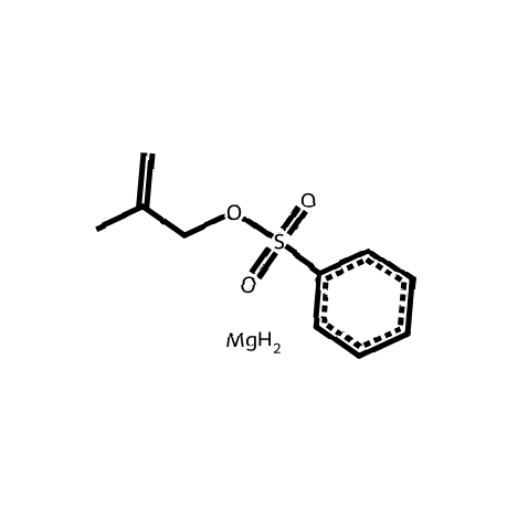 C=C(C)COS(=O)(=O)c1ccccc1.[MgH2]